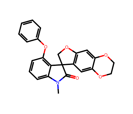 CN1C(=O)C2(COc3cc4c(cc32)OCCO4)c2c(Oc3ccccc3)cccc21